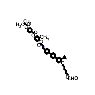 C=C(C)C(=O)Oc1ccc(C(=O)Oc2ccc(OC(=O)/C=C/c3ccc(-c4ccc(-c5ccc(OCCCCCCOC=O)c(C6CC6)c5)cc4)cc3)c(C)c2)cc1